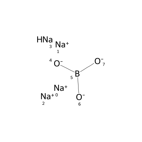 [Na+].[Na+].[Na+].[NaH].[O-]B([O-])[O-]